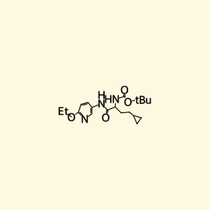 CCOc1ccc(NC(=O)C(CCC2CC2)NC(=O)OC(C)(C)C)cn1